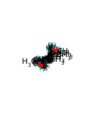 CC(C)(C)c1c(F)c(F)c(B(c2ccc3c(c2)[Si](C)(C)c2cccc4c2c-3cc2ccc(B(c3c(F)c(F)c(F)c(F)c3F)c3c(F)c(F)c(C(C)(C)C)c(F)c3F)cc24)c2c(F)c(F)c(F)c(F)c2F)c(F)c1F